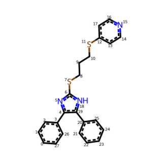 c1ccc(-c2nc(SCCCSc3ccncc3)[nH]c2-c2ccccc2)cc1